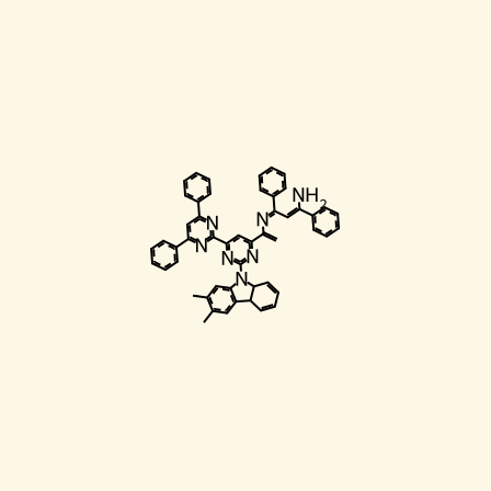 C=C(/N=C(\C=C(/N)c1ccccc1)c1ccccc1)c1cc(-c2nc(-c3ccccc3)cc(-c3ccccc3)n2)nc(N2c3cc(C)c(C)cc3C3C=CC=CC32)n1